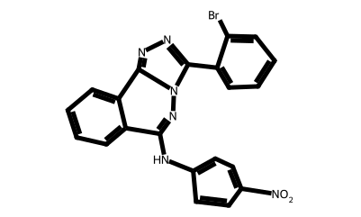 O=[N+]([O-])c1ccc(Nc2nn3c(-c4ccccc4Br)nnc3c3ccccc23)cc1